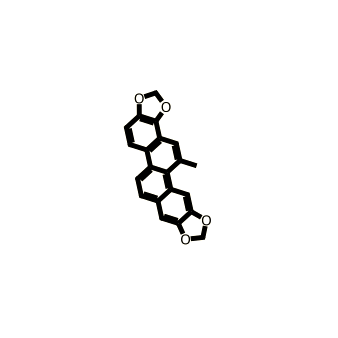 Cc1cc2c3c(ccc2c2ccc4cc5c(cc4c12)OCO5)OCO3